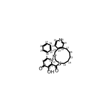 O=C1c2c(O)c(=O)ccn2N2CN1CCCCCc1cnccc1[C@H]2c1ccccc1